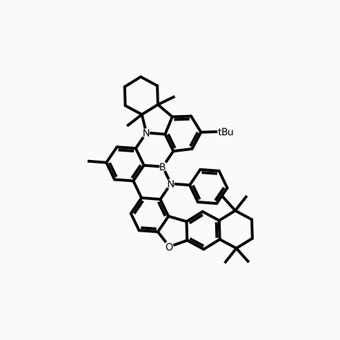 Cc1cc2c3c(c1)N1c4c(cc(C(C)(C)C)cc4C4(C)CCCCC14C)B3N(c1ccccc1)c1c-2ccc2oc3cc4c(cc3c12)C(C)(C)CCC4(C)C